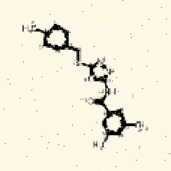 Cc1ccc(CSc2nnc(NC(=O)c3cc(C)cc(C)c3)o2)cc1